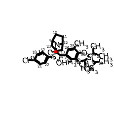 Cc1cc([C@@H](O)[C@@H](C)N2C3CCC2CC(Sc2ccc(Cl)cc2)C3)cc(C)c1O[Si](C(C)C)(C(C)C)C(C)C